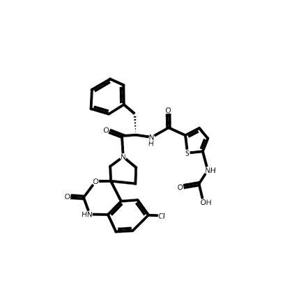 O=C(O)Nc1ccc(C(=O)N[C@@H](Cc2ccccc2)C(=O)N2CCC3(C2)OC(=O)Nc2ccc(Cl)cc23)s1